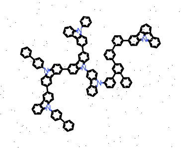 c1ccc(-c2ccc(-n3c4ccccc4c4cc(-c5ccc6c(c5)c5cc(-c7ccc8c(c7)c7cc(-c9ccc%10c(c9)c9ccccc9n%10-c9ccccc9)ccc7n8-c7ccc8c(c7)c7ccccc7n8-c7cccc(-c8cc(-c9cccc(-c%10cccc(-c%11ccc%12c(c%11)c%11cccc%13c%14ccccc%14n%12c%13%11)c%10)c9)ccc8-c8ccccc8)c7)ccc5n6-c5ccc(-c6ccccc6)cc5)ccc43)cc2)cc1